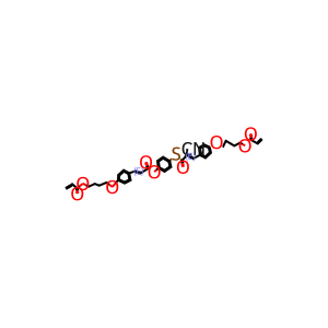 C=CC(=O)OCCCCOc1ccc(/C=C/C(=O)Oc2ccc(SC(=O)/C(C#N)=C/c3ccc(OCCCCOC(=O)C=C)cc3)cc2)cc1